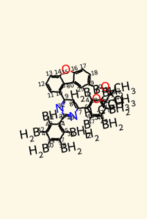 Bc1c(B)c(B)c(-c2cc(-c3cccc4oc5ccc(B6OC(C)(C)C(C)(C)O6)cc5c34)nc(-c3c(B)c(B)c(B)c(B)c3B)n2)c(B)c1B